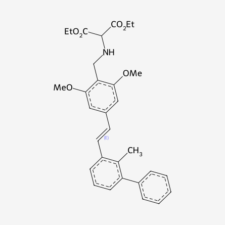 CCOC(=O)C(NCc1c(OC)cc(/C=C/c2cccc(-c3ccccc3)c2C)cc1OC)C(=O)OCC